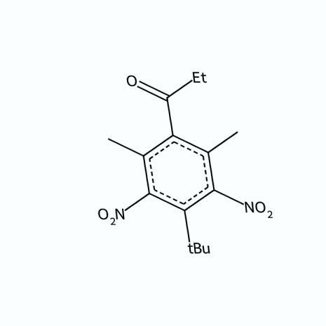 CCC(=O)c1c(C)c([N+](=O)[O-])c(C(C)(C)C)c([N+](=O)[O-])c1C